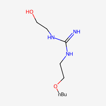 CCCCOCCNC(=N)NCCO